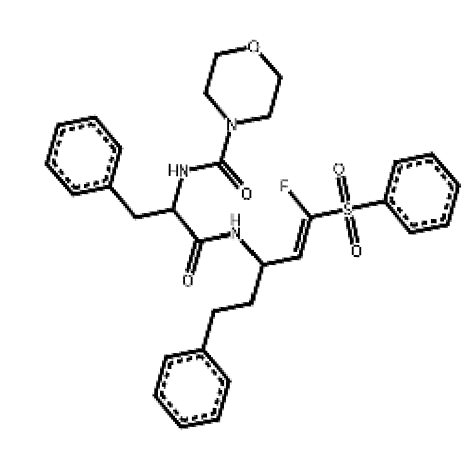 O=C(NC(C=C(F)S(=O)(=O)c1ccccc1)CCc1ccccc1)C(Cc1ccccc1)NC(=O)N1CCOCC1